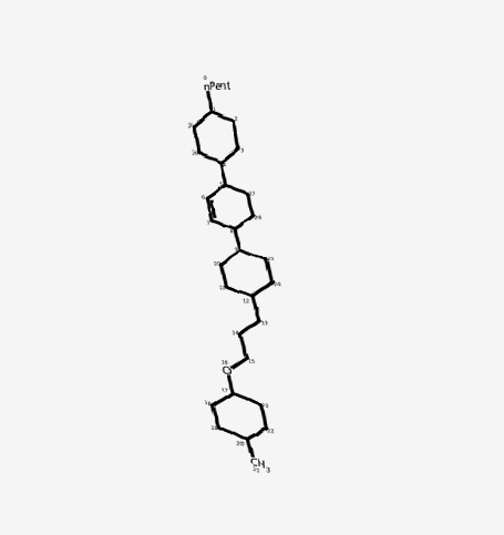 CCCCCC1CCC(C2C=CC(C3CCC(CCCOC4CCC(C)CC4)CC3)CC2)CC1